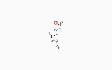 CCCCC(C)CCCC(C)=O